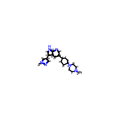 CC(C)N1CCN(C2CCC(c3cnc4[nH]cc(-c5cnn(C)c5)c4c3)CC2)CC1